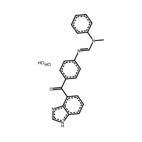 CN(C=Nc1ccc(C(=O)c2cccc3[nH]cnc23)cc1)c1ccccc1.Cl.Cl